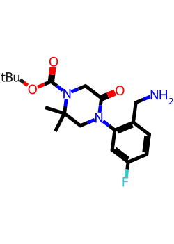 CC(C)(C)OC(=O)N1CC(=O)N(c2cc(F)ccc2CN)CC1(C)C